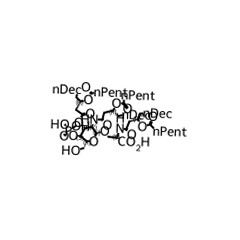 CCCCCCCCCCC[C@H](CC(=O)N[C@H]1[C@@H](OC[C@H](NC(=O)C[C@@H](CCCCCCCCCCC)OC(=O)CCCCC)C(=O)O)O[C@H](CO)[C@@H](OP(=O)(O)O)[C@@H]1OC(=O)C[C@@H](CCCCCCCCCCC)OC(=O)CCCCC)OC(=O)CCCCC